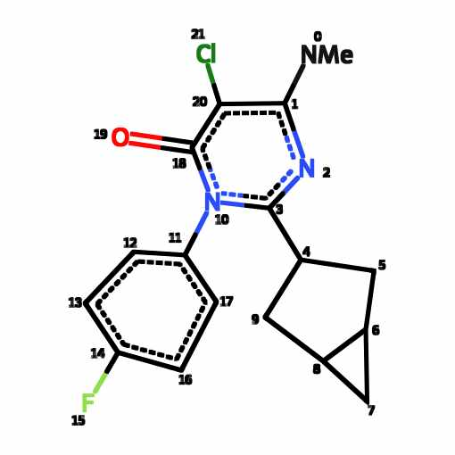 CNc1nc(C2CC3CC3C2)n(-c2ccc(F)cc2)c(=O)c1Cl